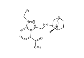 COC(=O)c1cccc2c1c(CN[C@@H]1CN3CCC1CC3)nn2CC(C)C